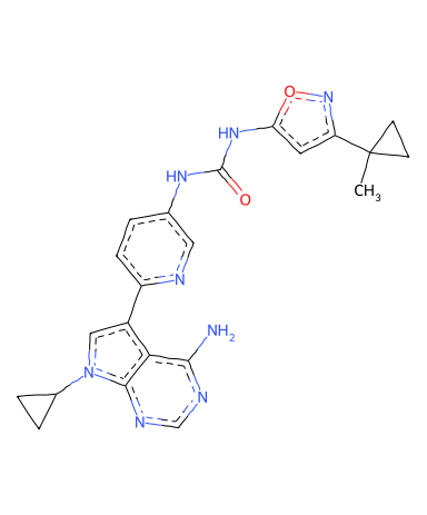 CC1(c2cc(NC(=O)Nc3ccc(-c4cn(C5CC5)c5ncnc(N)c45)nc3)on2)CC1